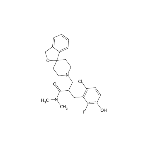 CN(C)C(=O)C(Cc1c(Cl)ccc(O)c1F)CN1CCC2(CC1)OCc1ccccc12